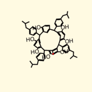 Cc1c2c(O)cc(O)c1C(c1ccc(CC(C)C)cc1)c1cc(c(O)cc1O)C(c1ccc(CC(C)C)cc1)c1cc(ccc1O)C(c1ccc(CC(C)C)cc1)c1cc(c(O)cc1O)C2c1ccc(CC(C)C)cc1